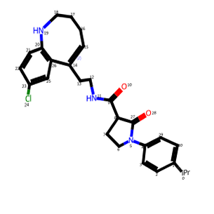 CC(C)c1ccc(N2CCC(C(=O)NCC/C3=C/CCCNc4ccc(Cl)cc43)C2=O)cc1